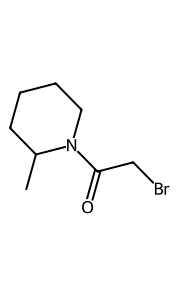 CC1CCCCN1C(=O)CBr